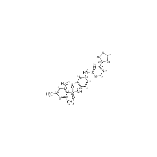 Cc1cc(C)c(S(=O)(=O)Nc2ccc(Nc3ccnc(N4CCCC4)n3)cc2)c(C)c1